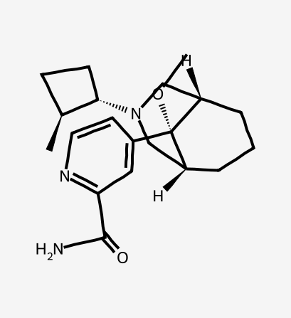 CO[C@@]1(c2ccnc(C(N)=O)c2)[C@@H]2CCC[C@H]1CN([C@H]1CC[C@@H]1C)C2